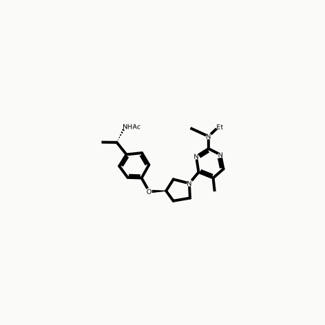 CCN(C)c1ncc(C)c(N2CC[C@@H](Oc3ccc([C@H](C)NC(C)=O)cc3)C2)n1